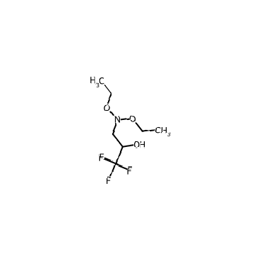 CCON(CC(O)C(F)(F)F)OCC